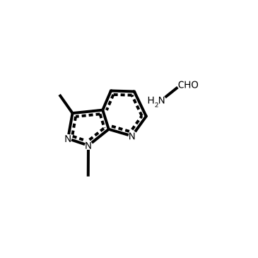 Cc1nn(C)c2ncccc12.NC=O